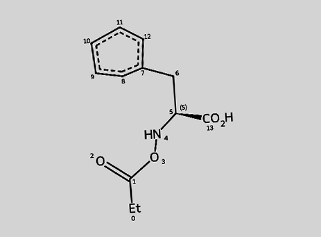 CCC(=O)ON[C@@H](Cc1ccccc1)C(=O)O